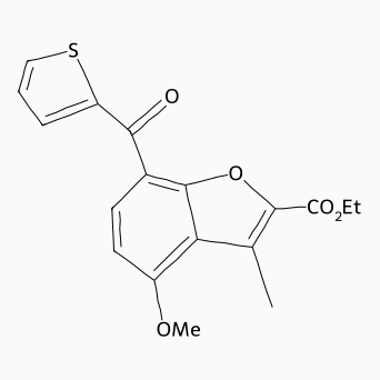 CCOC(=O)c1oc2c(C(=O)c3cccs3)ccc(OC)c2c1C